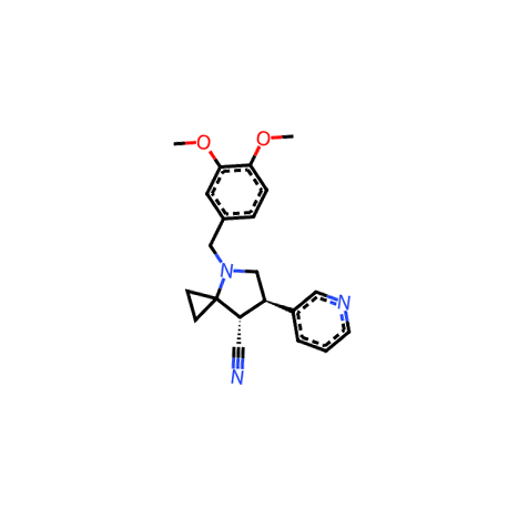 COc1ccc(CN2C[C@@H](c3cccnc3)[C@H](C#N)C23CC3)cc1OC